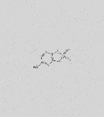 Cc1ccc2c(c1)NS(=O)(=O)N2